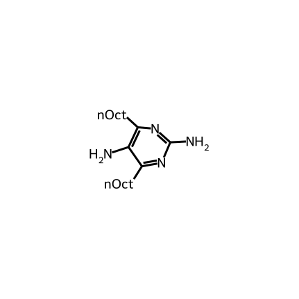 CCCCCCCCc1nc(N)nc(CCCCCCCC)c1N